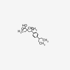 CCC(CC)c1ccc(C(C)CC(C)(CC)C(=O)O)cc1